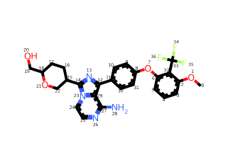 COc1cccc(Oc2ccc(-c3nc(C4CCC(CO)OC4)n4ccnc(N)c34)cc2)c1C(F)(F)F